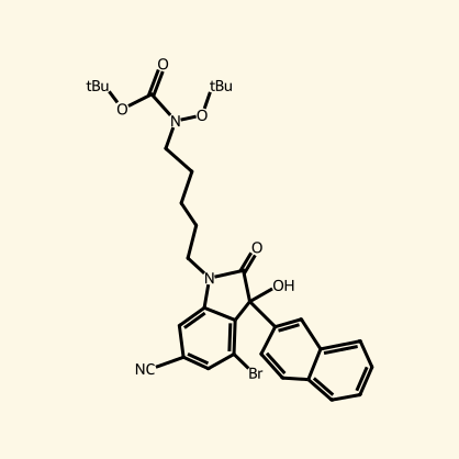 CC(C)(C)OC(=O)N(CCCCCN1C(=O)C(O)(c2ccc3ccccc3c2)c2c(Br)cc(C#N)cc21)OC(C)(C)C